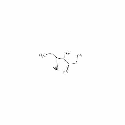 CC[C@@H](C)[C@@H](O)[C@@H](O)CC